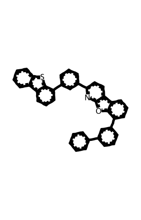 c1ccc(-c2cccc(-c3cccc4c3oc3nc(-c5cccc(-c6cccc7c6sc6ccccc67)c5)ccc34)c2)cc1